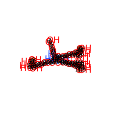 O=C(O)CCOCCOCCOCCOCCC(=O)NC(CCC(=O)NCCOCCOCCOCCOCCOC1OC(COP(=O)(O)O)C(O)C(O)C1O)(CCC(=O)NCCOCCOCCOCCOCCOC1OC(COP(=O)(O)O)C(O)C(O)C1O)CCC(=O)NCCOCCOCCOCCOCCOC1OC(COP(=O)(O)O)C(O)C(O)C1O